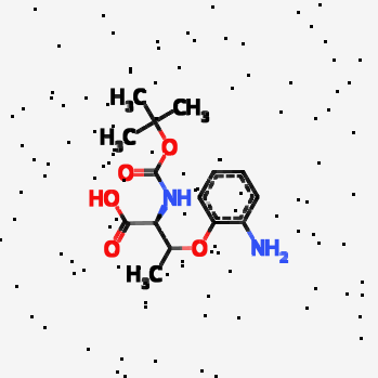 CC(Oc1ccccc1N)[C@H](NC(=O)OC(C)(C)C)C(=O)O